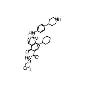 CCONC(=O)c1cn(C2CCCCC2)c2nc(Nc3ccc(C4CCNCC4)cc3)ncc2c1=O